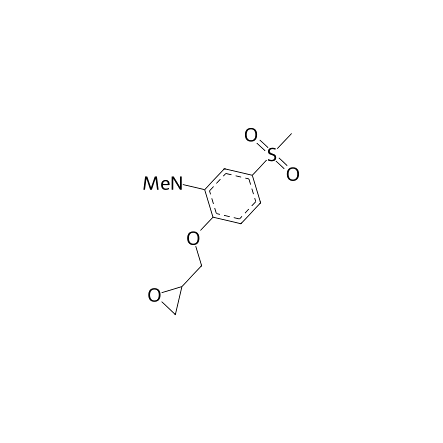 CNc1cc(S(C)(=O)=O)ccc1OCC1CO1